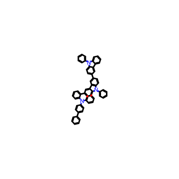 c1ccc(-c2ccc(N(c3ccccc3)c3ccccc3-c3ccc4c(c3)c3cc(-c5ccc6c(c5)c5ccccc5n6-c5ccccc5)ccc3n4-c3ccccc3)cc2)cc1